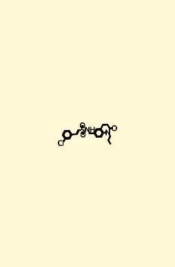 CCCN1C(=O)CCc2cc(CNS(=O)(=O)C=Cc3cccc(Cl)c3)ccc21